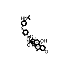 CC(C)Nc1ccc(Sc2ccc([C@H]3O[C@@H]4C[C@H]5[C@@H]6C[C@H](F)C7=CC(=O)C=C[C@]7(C)[C@@]6(F)[C@@H](O)C[C@]5(C)[C@]4(C(=O)CO)O3)cc2)cc1